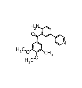 COc1cc(C(=O)c2cc(-c3ccncc3)ccc2N)cc(C)c1OC